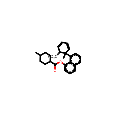 CC1CCC(C(=O)Oc2cccc3cccc(C4(C)C=CC=CC4C(=O)O)c23)CC1